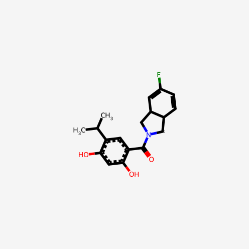 CC(C)c1cc(C(=O)N2[C]C3C=CC(F)=CC3C2)c(O)cc1O